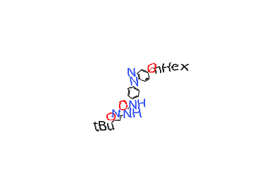 CCCCCCOc1ccc2c(c1)ncn2-c1ccc(NC(=O)Nc2cc(C(C)(C)C)on2)cc1